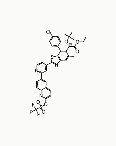 CCOC(=O)[C@@H](OC(C)(C)C)c1c(C)cc2nc(-c3ccnc(-c4ccc5nc(OS(=O)(=O)C(F)(F)F)ccc5c4)c3)sc2c1-c1ccc(Cl)cc1